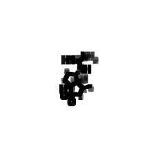 C[C@H]1CS(=O)(=O)[C@@H]2CC[C@@H](NC(=N)N)[C@@H]21